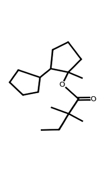 CCC(C)(C)C(=O)OC1(C)CCCC1C1CCCC1